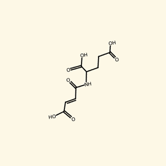 O=C(O)/C=C/C(=O)NC(CCC(=O)O)C(=O)O